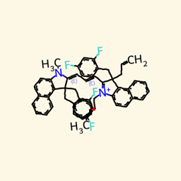 C=CCC1(Cc2ccc(F)cc2F)C(/C=C/C=C2/N(C)c3ccc4ccccc4c3C2(Cc2ccccc2)Cc2ccc(F)cc2F)=[N+](CCCC)c2ccc3ccccc3c21